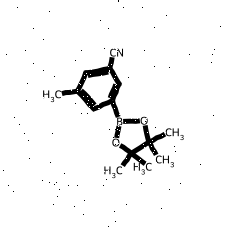 Cc1cc(C#N)cc(B2OC(C)(C)C(C)(C)O2)c1